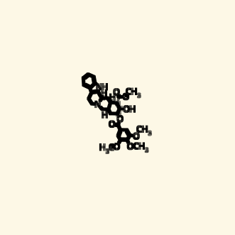 COC(=O)[C@@H]1[C@@H](O)[C@H](OC(=O)c2cc(OC)c(OC)c(OC)c2)C[C@@H]2CN3CCc4c([nH]c5ccccc45)[C@H]3C[C@@H]21